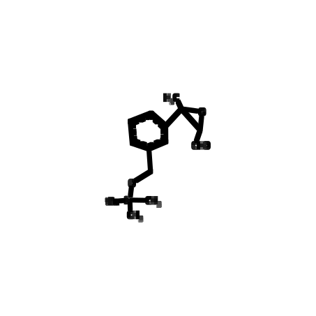 CC1(c2cccc(CO[Si](C)(C)C(C)(C)C)c2)OC1C=O